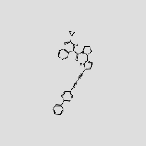 O=C(N[C@@H](C(=O)N1CCC[C@H]1c1ncc(C#CC#Cc2ccc(-c3ccccc3)cc2)[nH]1)c1ccccc1)C1CC1